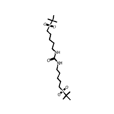 CC(C)(C)S(=O)(=O)CCCCCNC(=O)NCCCCCS(=O)(=O)C(C)(C)C